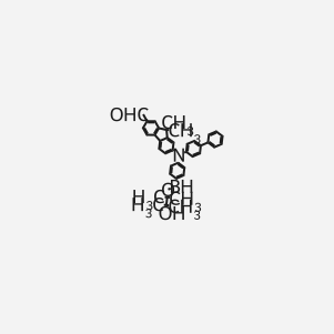 CC1(C)c2cc(C=O)ccc2-c2ccc(N(c3ccc(BOC(C)(C)C(C)(C)O)cc3)c3ccc(-c4ccccc4)cc3)cc21